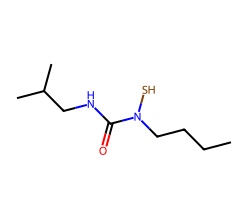 CCCCN(S)C(=O)NCC(C)C